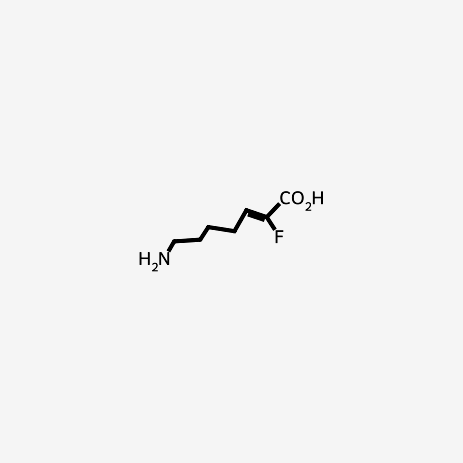 NCCCCC=C(F)C(=O)O